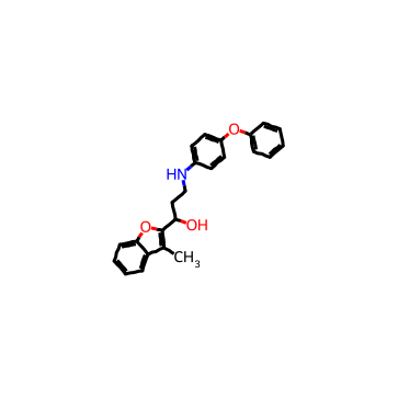 Cc1c(C(O)CCNc2ccc(Oc3ccccc3)cc2)oc2ccccc12